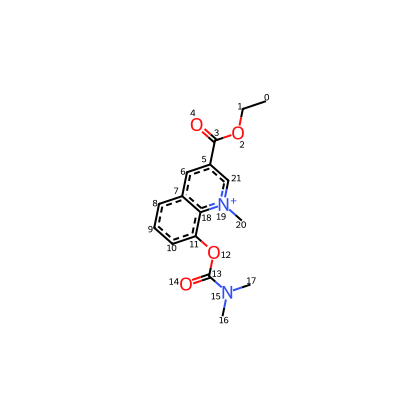 CCOC(=O)c1cc2cccc(OC(=O)N(C)C)c2[n+](C)c1